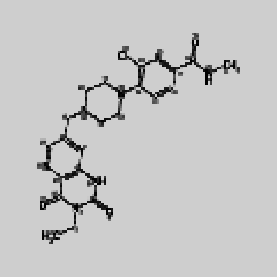 CCn1c(=O)[nH]c2cc(CN3CCN(c4ccc(C(=O)NC)nc4Cl)CC3)cnc2c1=O